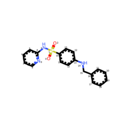 O=S(=O)(Nc1ccccn1)c1ccc(NCc2ccccc2)cc1